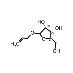 C=CCOC1O[C@H](CO)[C@@H](O)[C@H]1O